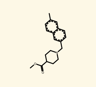 COC(=O)C1CCN(Cc2ccc3cc(C)ccc3c2)CC1